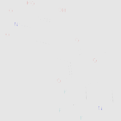 CCOC(=O)c1c(-c2cc(O)c(O)c([N+](=O)[O-])c2)coc1-c1cccnc1C(F)(F)F